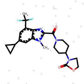 Cn1c(C(=O)N2CCC(N3CCOC3=O)CC2)nc2c(C(C)(F)F)cc(C3CC3)cc21